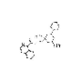 C=C(CCCC1(CCC)CC(CCC)CC(c2ccccc2)C1)c1nccc2ccccc12